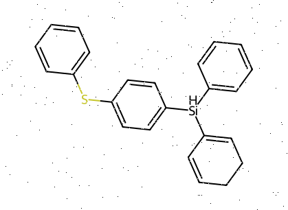 C1=CC([SiH](c2ccccc2)c2ccc(Sc3ccccc3)cc2)=CCC1